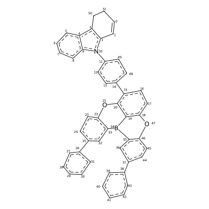 C1=Cc2c(c3ccccc3n2-c2ccc(-c3ccc4c5c3Oc3ccc(-c6ccccc6)cc3B5c3cc(-c5ccccc5)ccc3O4)cc2)CC1